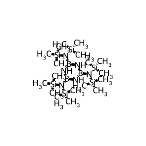 C[Si](C)(C)N(B1NB(N([Si](C)(C)C)[Si](C)(C)C)NB(N([Si](C)(C)C)[Si](C)(C)C)N1)[Si](C)(C)C